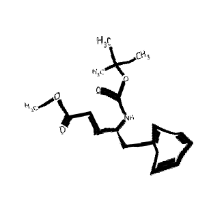 COC(=O)C=C[C@H](Cc1ccccc1)NC(=O)OC(C)(C)C